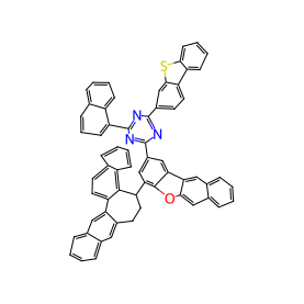 c1ccc2cc3c(cc2c1)CCC(c1cc(-c2nc(-c4ccc5c(c4)sc4ccccc45)nc(-c4cccc5ccccc45)n2)cc2c1oc1cc4ccccc4cc12)c1c-3ccc2ccccc12